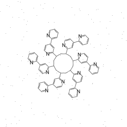 c1ccc(-c2ccnc(C3CC(c4cc(-c5ccccn5)ccn4)CC(c4cc(-c5ccccn5)ccn4)CC(c4cc(-c5ccccn5)ccn4)CC(c4cc(-c5ccccn5)ccn4)CC(c4cc(-c5ccccn5)ccn4)C3)c2)nc1